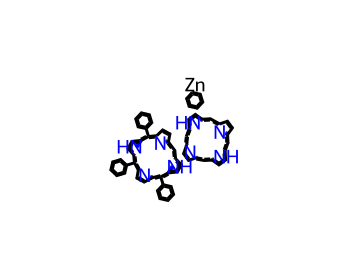 C1=Cc2cc3ccc(cc4nc(cc5ccc(cc1n2)[nH]5)C=C4)[nH]3.C1=Cc2nc1cc1ccc([nH]1)c(-c1ccccc1)c1nc(c(-c3ccccc3)c3ccc([nH]3)c2-c2ccccc2)C=C1.[Zn][c]1ccccc1